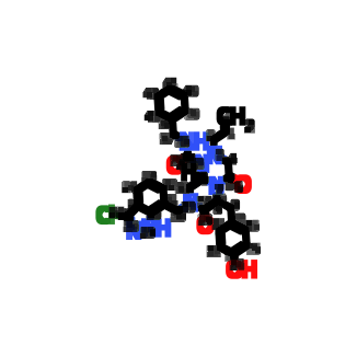 C=CCN1CC(=O)N2[C@@H](Cc3ccc(O)cc3)C(=O)N(Cc3cccc4c(Cl)n[nH]c34)C[C@@H]2N1C(=O)NCc1ccccc1